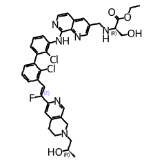 CCOC(=O)[C@@H](CO)NCc1cnc2c(Nc3cccc(-c4cccc(/C=C(\F)c5cc6c(cn5)CN(C[C@@H](C)O)CC6)c4Cl)c3Cl)nccc2c1